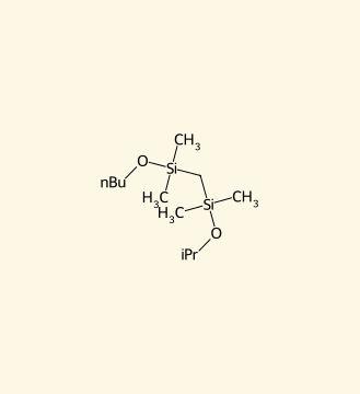 CCCCO[Si](C)(C)C[Si](C)(C)OC(C)C